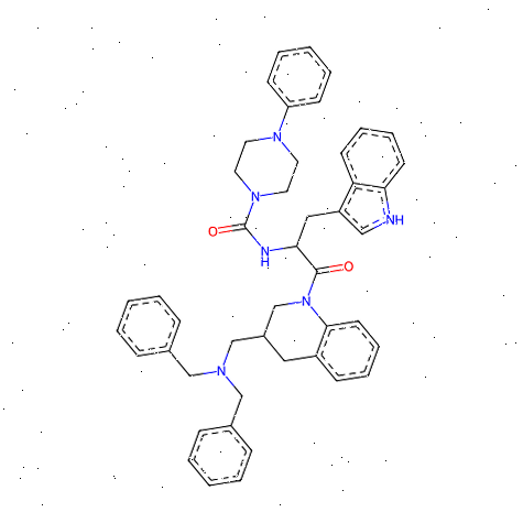 O=C(NC(Cc1c[nH]c2ccccc12)C(=O)N1CC(CN(Cc2ccccc2)Cc2ccccc2)Cc2ccccc21)N1CCN(c2ccccc2)CC1